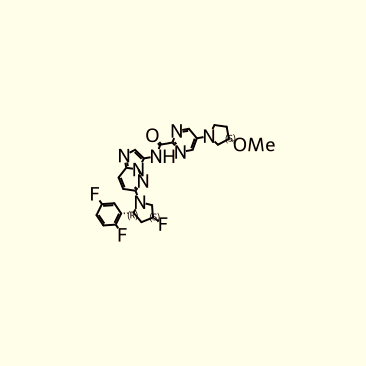 CO[C@H]1CCN(c2cnc(C(=O)Nc3cnc4ccc(N5C[C@@H](F)C[C@@H]5c5cc(F)ccc5F)nn34)nc2)C1